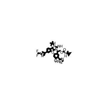 CC(C)(C)C[C@]1(c2ccc(-c3cnn(C(F)F)c3)cc2)NC(=N)N(C(COC(=O)NC2(C)CC2)c2ccc(Cl)c(-c3ncn[nH]3)c2)C1=O